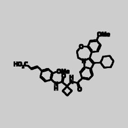 COc1ccc2c(c1)OCCn1c-2c(C2CCCCC2)c2ccc(C(=O)NC3(C(=O)Nc4ccc(/C=C/C(=O)O)cc4OC)CCC3)cc21